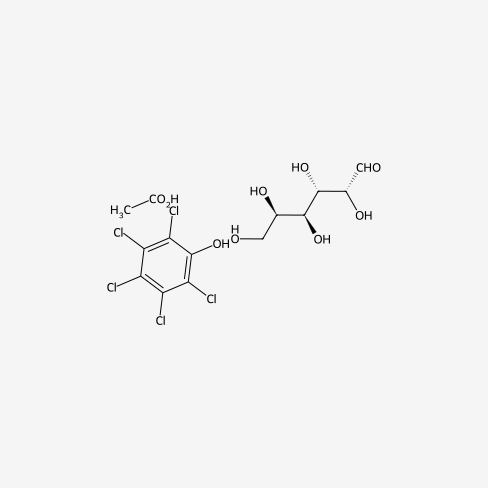 CC(=O)O.O=C[C@H](O)[C@@H](O)[C@@H](O)[C@H](O)CO.Oc1c(Cl)c(Cl)c(Cl)c(Cl)c1Cl